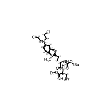 CCOC(=N)[C@H](CC(C)C)NC(=O)[C@H](CCc1nc2cc(N(CCCl)CCCl)ccc2n1C)NC(=O)OC(C)(C)C